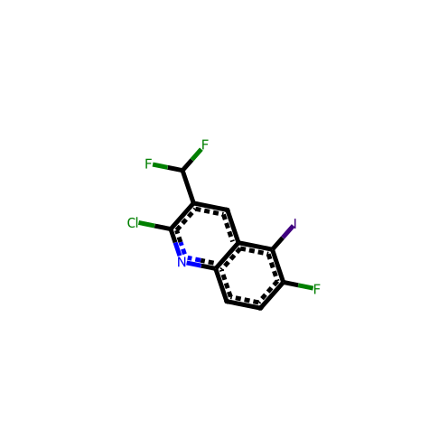 Fc1ccc2nc(Cl)c(C(F)F)cc2c1I